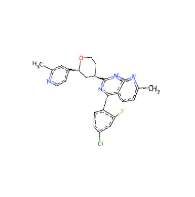 Cc1cc([C@@H]2C[C@H](c3nc(-c4ccc(Cl)cc4F)c4ccc(C)nc4n3)CCO2)ccn1